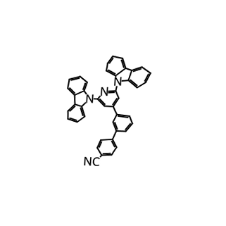 N#Cc1ccc(-c2cccc(-c3cc(-n4c5ccccc5c5ccccc54)nc(-n4c5ccccc5c5ccccc54)c3)c2)cc1